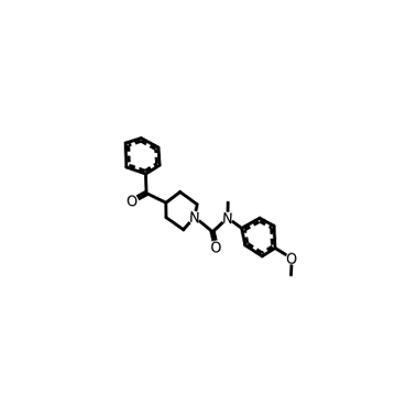 COc1ccc(N(C)C(=O)N2CCC(C(=O)c3ccccc3)CC2)cc1